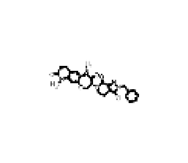 CN1C(=O)CCc2cc3c(cc21)OC[C@H](N1CCc2c(nn(Cc4ccccc4)c2Cl)C1=O)C(=O)N3C